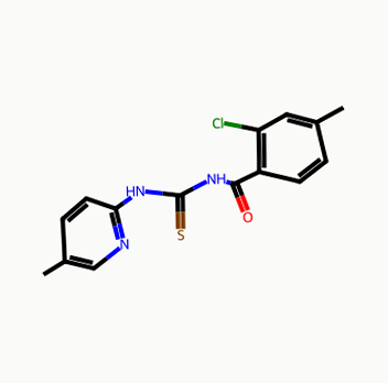 Cc1ccc(NC(=S)NC(=O)c2ccc(C)cc2Cl)nc1